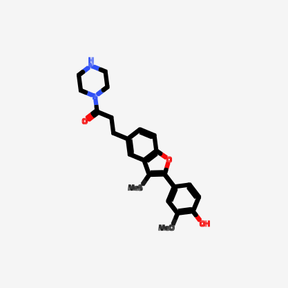 COc1cc(-c2oc3ccc(CCC(=O)N4CCNCC4)cc3c2SC)ccc1O